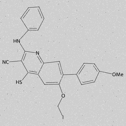 COc1ccc(-c2cc3nc(Nc4ccccc4)c(C#N)c(S)c3cc2OCI)cc1